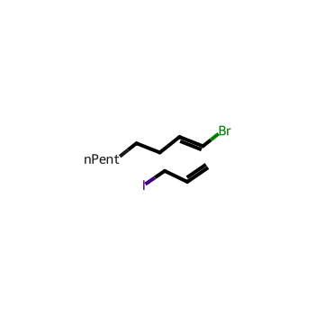 C=CCI.CCCCCCCC=CBr